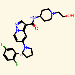 O=C(NC1CCN(CCO)CC1)c1cnn2ccc(N3CCC[C@@H]3c3cc(F)ccc3F)cc12